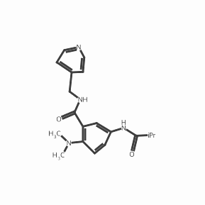 CC(C)C(=O)Nc1ccc(N(C)C)c(C(=O)NCc2ccncc2)c1